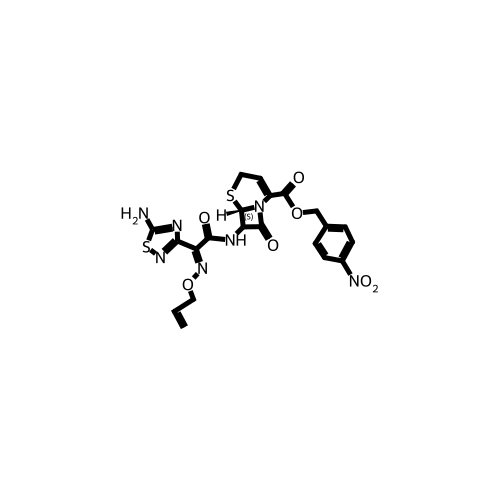 C=CCON=C(C(=O)NC1C(=O)N2C(C(=O)OCc3ccc([N+](=O)[O-])cc3)=CCS[C@@H]12)c1nsc(N)n1